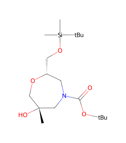 CC(C)(C)OC(=O)N1C[C@@H](CO[Si](C)(C)C(C)(C)C)OC[C@@](C)(O)C1